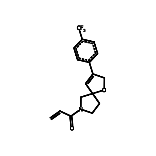 C=CC(=O)N1CCC2(C=C(c3ccc(C(F)(F)F)cc3)CO2)C1